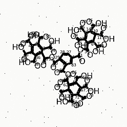 O=C(OC(=O)c1c(C(=O)O)c(C(=O)O)c(C(=O)O)c(C(=O)O)c1C(=O)O)c1ccc(C(=O)OC(=O)c2c(C(=O)O)c(C(=O)O)c(C(=O)O)c(C(=O)O)c2C(=O)O)c(C(=O)OC(=O)c2c(C(=O)O)c(C(=O)O)c(C(=O)O)c(C(=O)O)c2C(=O)O)c1